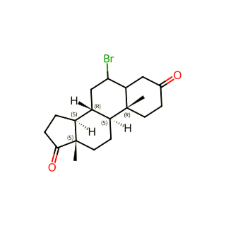 C[C@]12CCC(=O)CC1C(Br)C[C@@H]1[C@@H]2CC[C@]2(C)C(=O)CC[C@@H]12